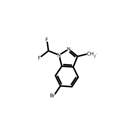 [CH2]c1nn(C(F)F)c2cc(Br)ccc12